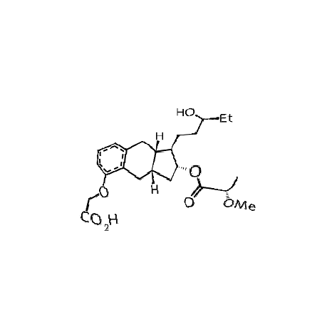 CC[C@H](O)CC[C@@H]1[C@H]2Cc3cccc(OCC(=O)O)c3C[C@H]2C[C@H]1OC(=O)[C@H](C)OC